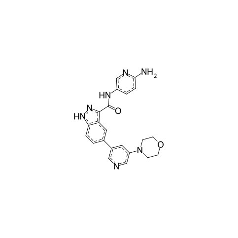 Nc1ccc(NC(=O)c2n[nH]c3ccc(-c4cncc(N5CCOCC5)c4)cc23)cn1